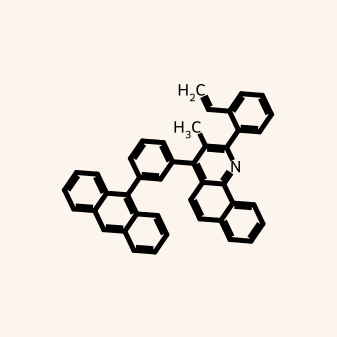 C=Cc1ccccc1-c1nc2c(ccc3ccccc32)c(-c2cccc(-c3c4ccccc4cc4ccccc34)c2)c1C